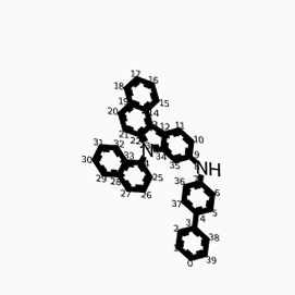 c1ccc(-c2ccc(Nc3ccc4c5c6ccccc6ccc5n(-c5cccc6ccccc56)c4c3)cc2)cc1